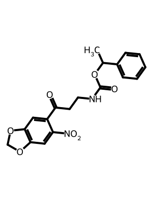 CC(OC(=O)NCCC(=O)c1cc2c(cc1[N+](=O)[O-])OCO2)c1ccccc1